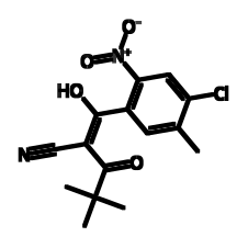 Cc1cc(C(O)=C(C#N)C(=O)C(C)(C)C)c([N+](=O)[O-])cc1Cl